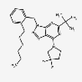 CC(C)(C)c1nc(N2CCC(F)(F)C2)c2nnn(Cc3ccccc3CSSCCN)c2n1